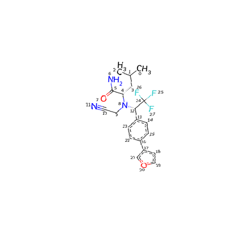 CC(C)C[C@@H](C(N)=O)N(CC#N)[C@@H](c1ccc(-c2ccoc2)cc1)C(F)(F)F